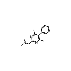 Cc1nc(CN(C)C)nc(C)c1-c1ccccc1